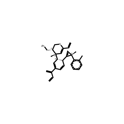 C=CC(=C)C1=C[C@H]([C@@]2(C)C=C(C=C)SC[C@H]2CC(C)C)C(C2=C[C@]2(C)c2ccccc2C)C=C1